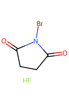 F.O=C1CCC(=O)N1Br